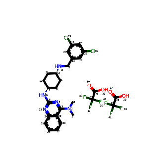 CN(C)c1nc(N[C@H]2CC[C@@H](NCc3cc(Cl)cc(Cl)c3)CC2)nc2ccccc12.O=C(O)C(F)(F)F.O=C(O)C(F)(F)F